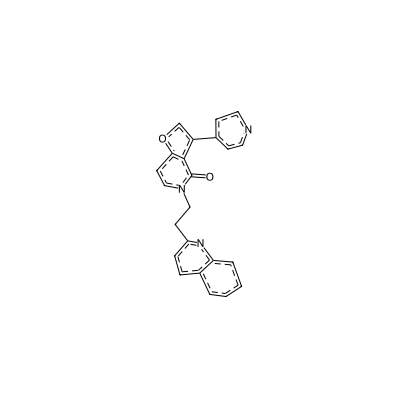 O=c1c2c(-c3ccncc3)coc2ccn1CCc1ccc2ccccc2n1